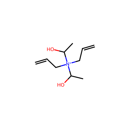 C=CC[N+](CC=C)(C(C)O)C(C)O